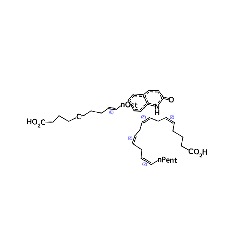 CCCCC/C=C\C/C=C\C/C=C\C/C=C\CCCC(=O)O.CCCCCCCC/C=C/CCCCCCCC(=O)O.O=c1ccc2ccccc2[nH]1